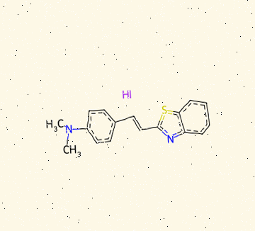 CN(C)c1ccc(/C=C/c2nc3ccccc3s2)cc1.I